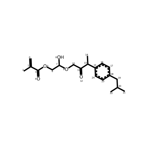 C=C(C)C(=O)OCC(O)OCC(=O)C(C)c1ccc(CC(C)C)cc1